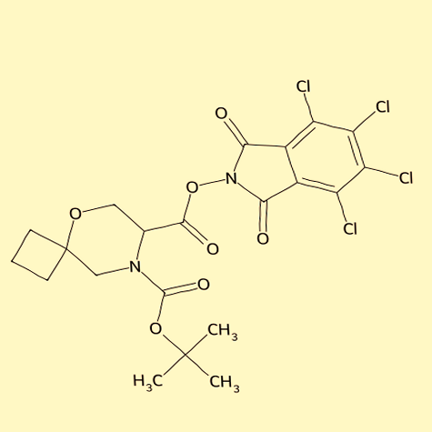 CC(C)(C)OC(=O)N1CC2(CCC2)OCC1C(=O)ON1C(=O)c2c(Cl)c(Cl)c(Cl)c(Cl)c2C1=O